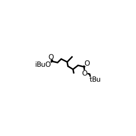 CC(C)COC(=O)CCC(C)CC(C)CC(=O)OCC(C)(C)C